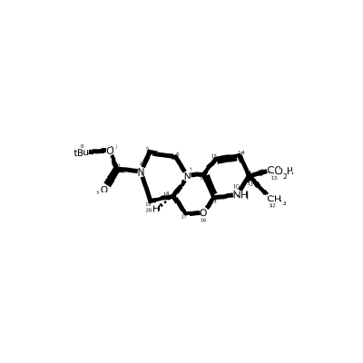 CC(C)(C)OC(=O)N1CCN2C3=C(NC(C)(C(=O)O)C=C3)OC[C@H]2C1